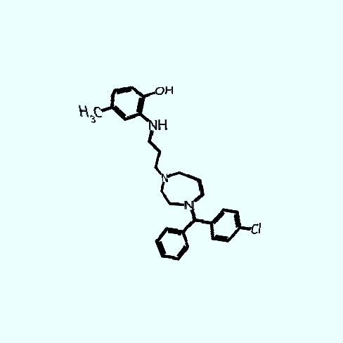 Cc1ccc(O)c(NCCCN2CCCN(C(c3ccccc3)c3ccc(Cl)cc3)CC2)c1